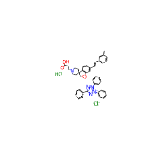 Cc1cccc(/C=C/c2ccc3c(c2)OCC32CCN(CCC(=O)O)CC2)c1.Cl.[Cl-].c1ccc(-c2nn(-c3ccccc3)[n+](-c3ccccc3)n2)cc1